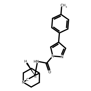 Cc1ccc(-c2cnn(C(=O)N[C@H]3CN4CCC3CC4)c2)cc1